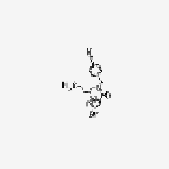 CCCC1CN(Cc2ccc(C#N)cc2)C(=O)c2cc(Br)nn21